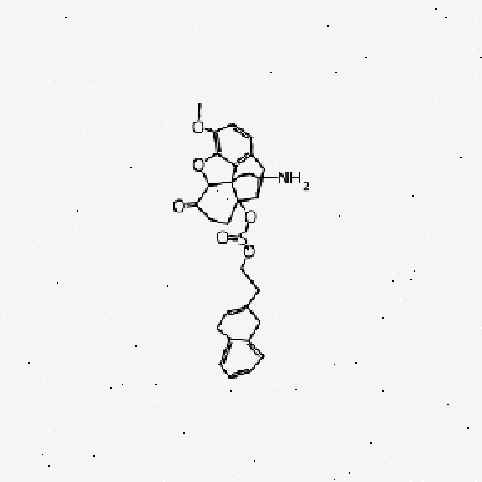 COc1ccc2c3c1OC1C(=O)CCC4(OS(=O)OCCC5=CCc6ccccc6C5)C(C2)C(N)CCC314